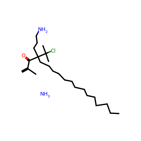 C=C(C)C(=O)C(CCCN)(CCCCCCCCCCCCCC)C(C)(C)Cl.N